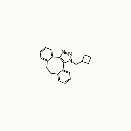 c1ccc2c(c1)CCc1ccccc1-c1c-2nnn1CC1CCC1